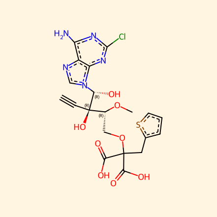 C#C[C@@](O)([C@@H](COC(Cc1cccs1)(C(=O)O)C(=O)O)OC)[C@@H](O)n1cnc2c(N)nc(Cl)nc21